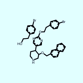 Brc1ccc(CCOc2ncc(C3CCNCC3OCc3ccc4ccccc4c3)cn2)cc1.OCCc1ccc(Br)cc1